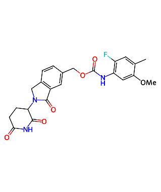 COc1cc(NC(=O)OCc2ccc3c(c2)C(=O)N(C2CCC(=O)NC2=O)C3)c(F)cc1C